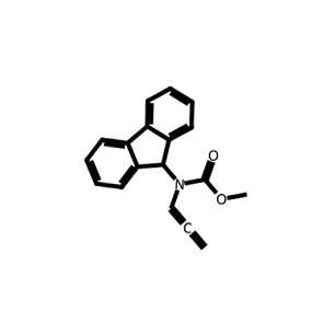 C=C=CN(C(=O)OC)C1c2ccccc2-c2ccccc21